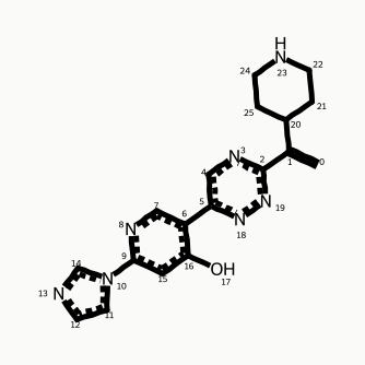 C=C(c1ncc(-c2cnc(-n3ccnc3)cc2O)nn1)C1CCNCC1